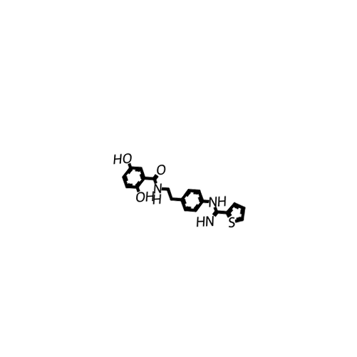 N=C(Nc1ccc(CCNC(=O)c2cc(O)ccc2O)cc1)c1cccs1